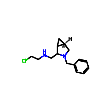 ClCCNCC1C2C[C@H]2CN1Cc1ccccc1